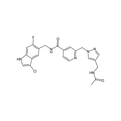 CC(=O)NCc1cnn(Cc2cc(C(=O)NCc3cc4c(Cl)c[nH]c4cc3F)ccn2)c1